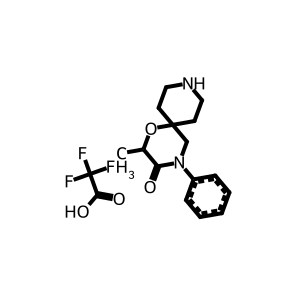 CC1OC2(CCNCC2)CN(c2ccccc2)C1=O.O=C(O)C(F)(F)F